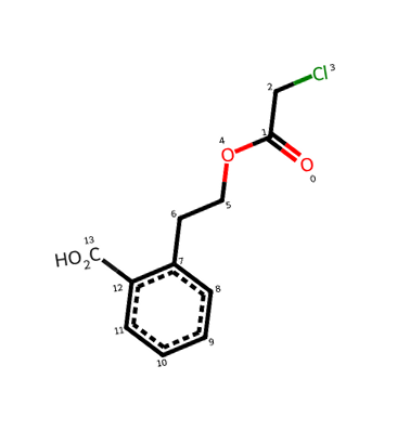 O=C(CCl)OCCc1ccccc1C(=O)O